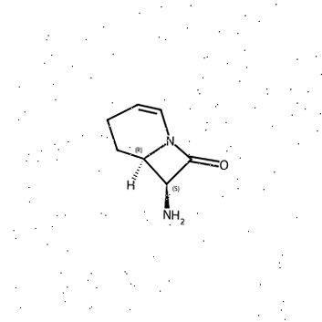 N[C@@H]1C(=O)N2C=CCC[C@H]12